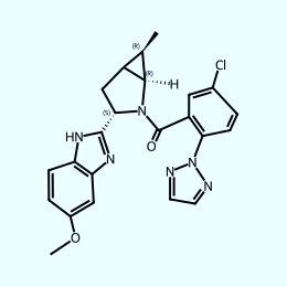 COc1ccc2[nH]c([C@@H]3CC4[C@@H](C)[C@H]4N3C(=O)c3cc(Cl)ccc3-n3nccn3)nc2c1